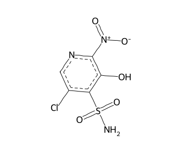 NS(=O)(=O)c1c(Cl)cnc([N+](=O)[O-])c1O